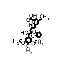 CCc1cc(C(=O)O)n2nc(CC(C)(OC3CCCC3)[C@H](O)c3cc(OC)c(C)c(OC)c3)cc2c1